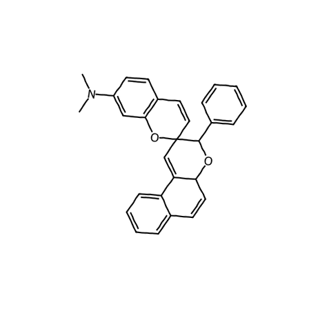 CN(C)c1ccc2c(c1)OC1(C=C2)C=C2c3ccccc3C=CC2OC1c1ccccc1